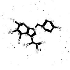 CC(C(=O)O)c1cn(Cc2ccc(Br)cc2)c2cc(F)c(O)c(F)c12